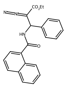 CCOC(=O)C(=[N+]=[N-])C(NC(=O)c1cccc2ccccc12)c1ccccc1